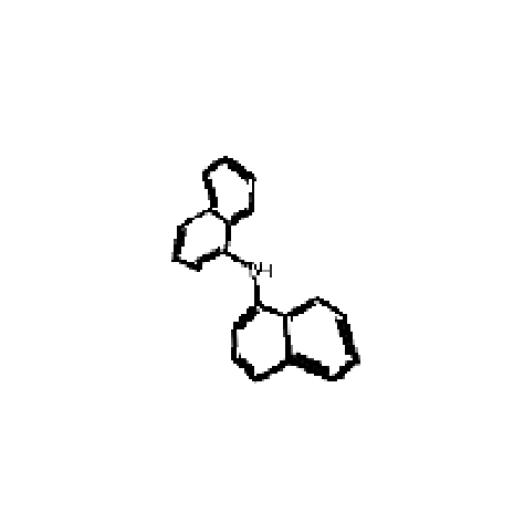 B(c1cccc2ccccc12)c1cccc2ccccc12